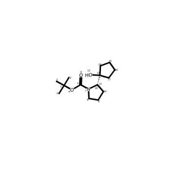 CC(C)(C)OC(=O)N1CCC[C@H]1C1(O)CCCC1